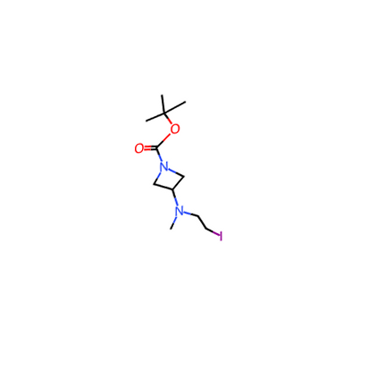 CN(CCI)C1CN(C(=O)OC(C)(C)C)C1